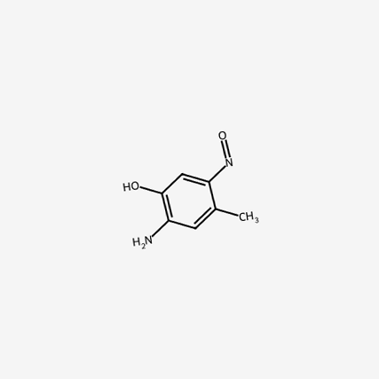 Cc1cc(N)c(O)cc1N=O